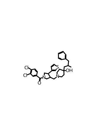 CC(Cc1ccccc1)CC1(O)CCN(CC2CN(C(=O)c3ccc(Cl)c(Cl)c3)CC2c2ccsc2)CC1